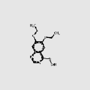 CCOc1cc2ncnc([Se][SeH])c2cc1OCC